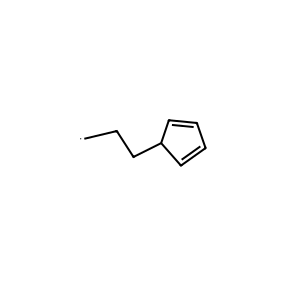 [CH2]CCC1C=CC=C1